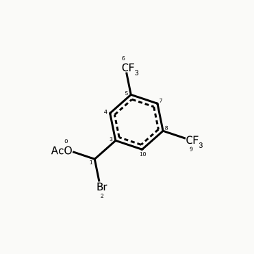 CC(=O)OC(Br)c1cc(C(F)(F)F)cc(C(F)(F)F)c1